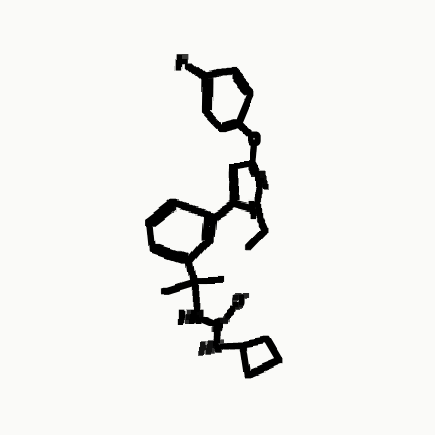 CCn1nc(Oc2ccc(F)cc2)cc1-c1cccc(C(C)(C)N[S+]([O-])NC2CCC2)c1